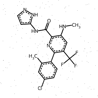 CNc1cc(C(F)(F)F)c(-c2ccc(Cl)cc2C)nc1C(=O)Nc1ccn[nH]1